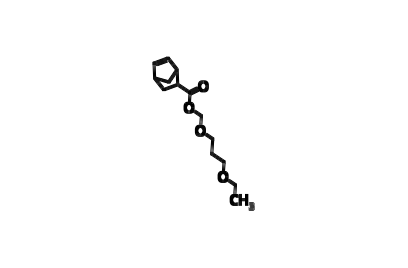 CCOCCCOCOC(=O)C1CC2C=CC1C2